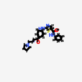 O=C(/C=C/CN1CCCC1)c1ccc(Nc2ncc(C(=O)Nc3ccccc3)s2)cc1